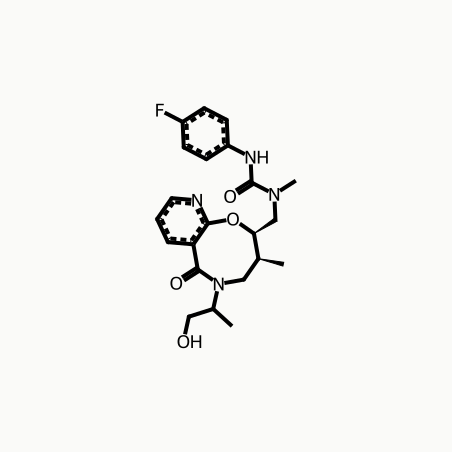 CC(CO)N1C[C@H](C)[C@H](CN(C)C(=O)Nc2ccc(F)cc2)Oc2ncccc2C1=O